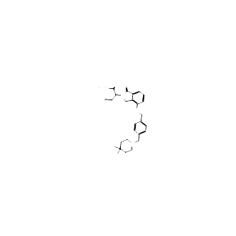 CNC(=O)C(CCC=O)N1Cc2c(OCc3ccc(CN4CCC(C)(C)CC4)cc3)cccc2C1=O